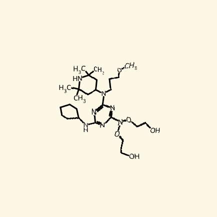 COCCCN(c1nc(NC2CCCCC2)nc(N(OCCO)OCCO)n1)C1CC(C)(C)NC(C)(C)C1